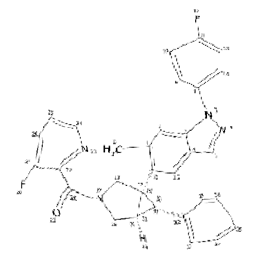 Cc1cc2c(cnn2-c2ccc(F)cc2)cc1[C@@]12CN(C(=O)c3ncccc3F)C[C@@H]1[C@H]2c1ccccc1